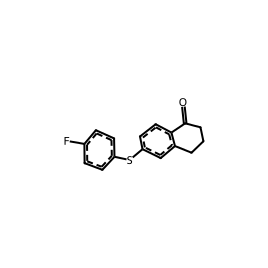 O=C1CCCc2cc(Sc3ccc(F)cc3)ccc21